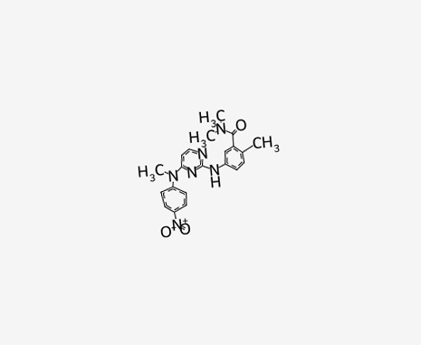 Cc1ccc(Nc2nccc(N(C)c3ccc([N+](=O)[O-])cc3)n2)cc1C(=O)N(C)C